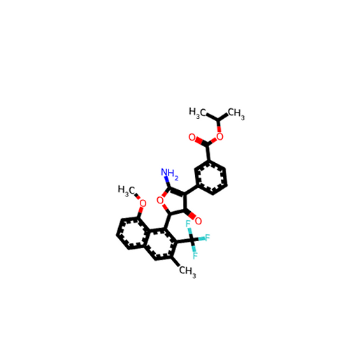 COc1cccc2cc(C)c(C(F)(F)F)c(C3OC(N)=C(c4cccc(C(=O)OC(C)C)c4)C3=O)c12